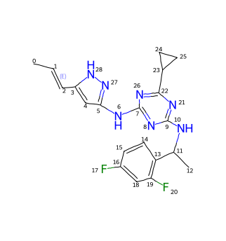 C/C=C/c1cc(Nc2nc(NC(C)c3ccc(F)cc3F)nc(C3CC3)n2)n[nH]1